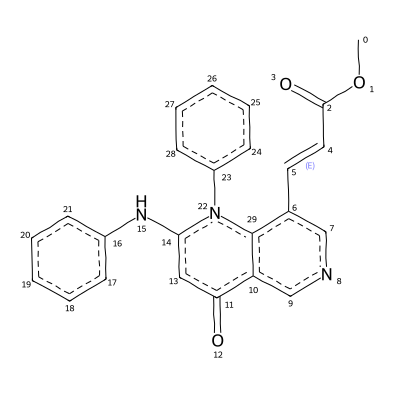 COC(=O)/C=C/c1cncc2c(=O)cc(Nc3ccccc3)n(-c3ccccc3)c12